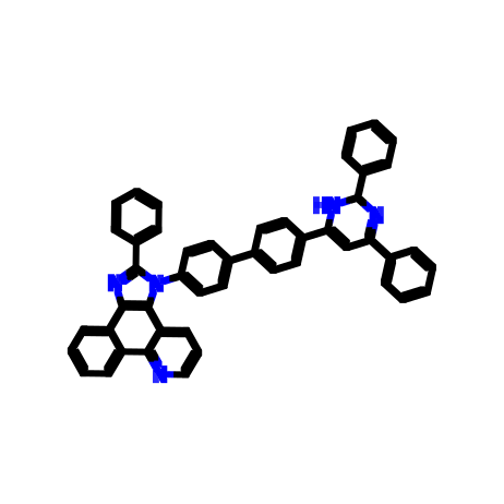 C1=C(c2ccc(-c3ccc(-n4c(-c5ccccc5)nc5c6ccccc6c6ncccc6c54)cc3)cc2)NC(c2ccccc2)N=C1c1ccccc1